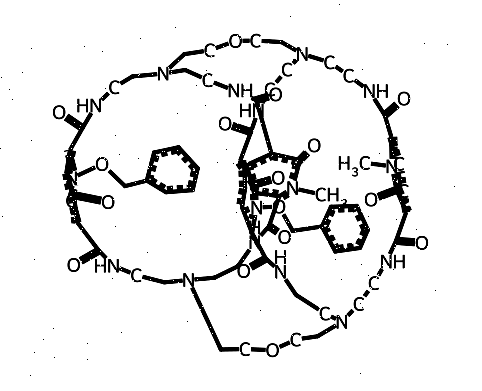 Cn1c2ccc(c1=O)C(=O)NCCN1CCNC(=O)c3ccc(c(=O)n3OCc3ccccc3)C(=O)NCCN(CCNC2=O)CCOCCN2CCNC(=O)c3ccc(n(C)c3=O)C(=O)NCCN(CCNC(=O)c3ccc(n(OCc4ccccc4)c3=O)C(=O)NCC2)CCOCC1